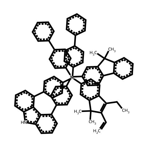 C=CC1=C(CC)c2ccc(N(c3ccc(-c4ccccc4)cc3)c3ccc(-c4cccc5[nH]c6cccc(-c7ccc(N(c8ccc(-c9ccccc9)cc8)c8ccc9c(c8)C(C)(C)c8ccccc8-9)cc7)c6c45)cc3)cc2C1(C)C